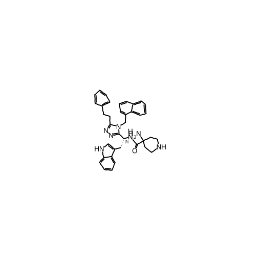 NC1(C(=O)N[C@H](Cc2c[nH]c3ccccc23)c2nnc(CCc3ccccc3)n2Cc2cccc3ccccc23)CCNCC1